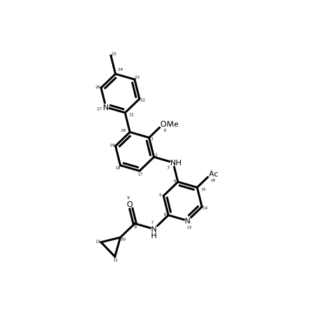 COc1c(Nc2cc(NC(=O)C3CC3)ncc2C(C)=O)cccc1-c1ccc(C)cn1